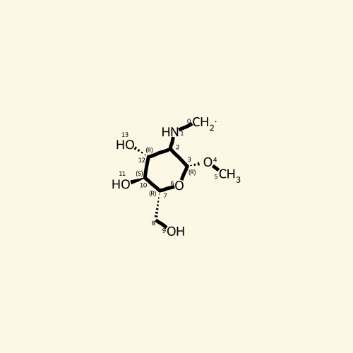 [CH2]NC1[C@H](OC)O[C@H](CO)[C@@H](O)[C@@H]1O